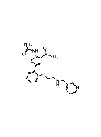 NC(=O)Nc1sc(-c2ccccc2OCCNCc2cccnc2)cc1C(N)=O